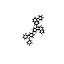 c1ccc(-n2c3ccccc3c3cc(-c4ccc5c(c4)c4c6ccccc6ccc4n5-c4cc5c6c(cccc6n4)-c4ccccc4-5)ccc32)cc1